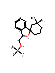 CC1(C)CCCC2(C1)OC(CO[Si](C)(C)C(C)(C)C)c1ccccc12